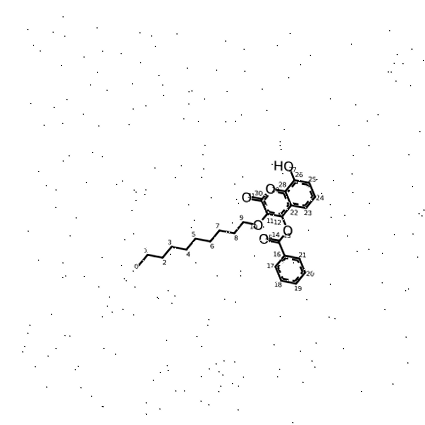 CCCCCCCCCCOc1c(OC(=O)c2ccccc2)c2cccc(O)c2oc1=O